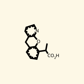 CC(C(=O)O)c1cccc2c1Oc1ncccc1C2